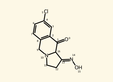 O=C1c2cc(Cl)ccc2CN2CCC(=NO)C12